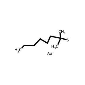 CCCCCCC(C)(C)[S-].[Au+]